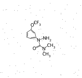 CN(C)C(=O)N(N)c1cccc(OC(F)(F)F)c1